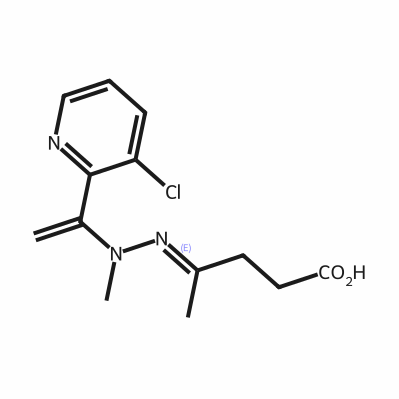 C=C(c1ncccc1Cl)N(C)/N=C(\C)CCC(=O)O